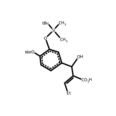 CCC=C(C(=O)O)C(O)c1ccc(OC)c(O[Si](C)(C)C(C)(C)C)c1